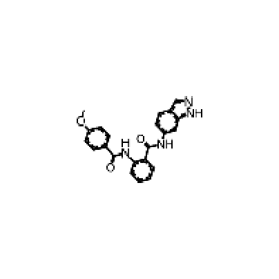 COc1ccc(C(=O)Nc2ccccc2C(=O)Nc2ccc3cn[nH]c3c2)cc1